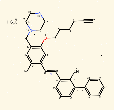 C#CCCCCOc1cc(/C=C/c2cccc(-c3ccccc3)c2C#N)c(C)cc1CN1CCNC[C@H]1C(=O)O